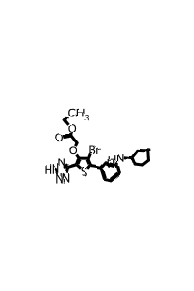 CCOC(=O)COc1c(-c2nn[nH]n2)sc(-c2cccc(NC3CCCCC3)c2)c1Br